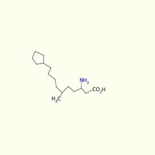 CC(CCCCC1CCCC1)CCC(N)CC(=O)O